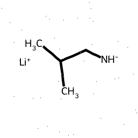 CC(C)C[NH-].[Li+]